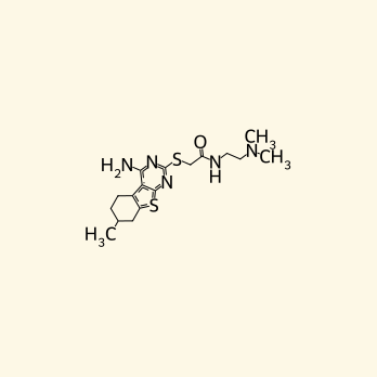 CC1CCc2c(sc3nc(SCC(=O)NCCN(C)C)nc(N)c23)C1